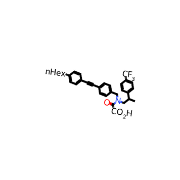 CCCCCCc1ccc(C#Cc2ccc(CN(CC(C)c3ccc(C(F)(F)F)cc3)C(=O)C(=O)O)cc2)cc1